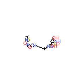 CC(C)c1nc(C(=O)N2CCOC3(CCN(CCCCCCC(C)(C)CCNCC(O)c4ccc(O)c5[nH]c(=O)sc45)CC3)C2)cs1